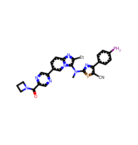 CCc1nc2ccc(-c3cnc(C(=O)N4CCC4)cn3)cn2c1N(C)c1nc(-c2ccc(P)cc2)c(C#N)s1